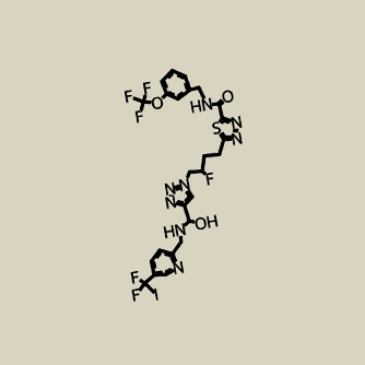 O=C(NCc1cccc(OC(F)(F)F)c1)c1nnc(CCC(F)Cn2cc(C(O)NCc3ccc(C(F)(F)I)cn3)nn2)s1